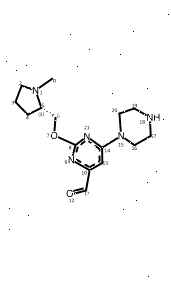 CN1CCC[C@H]1COc1nc(C=O)cc(N2CCNCC2)n1